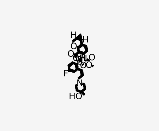 COC(=O)N(c1ccc2c(c1C(=O)O)OC[C@@H]1C[C@H]21)S(=O)(=O)c1ccc(F)cc1/C=C\CN1CCC(C)(O)CC1